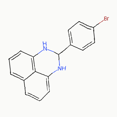 Brc1ccc(C2Nc3cccc4cccc(c34)N2)cc1